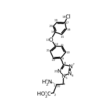 N[C@@H](CC(=O)O)Cn1nnc(-c2ccc(Oc3ccc(Cl)cc3)cc2)n1